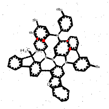 CC(C)(C)c1ccc(N2B3c4cc(N(c5cccc(C(C)(C)C)c5)c5cccc(C(C)(C)C)c5)ccc4N(c4ccc(C(C)(C)C)cc4-c4ccccc4)c4cc5c(oc6ccccc65)c(c43)-c3ccc4c(c32)C(C)(C)c2ccccc2-4)cc1